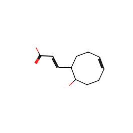 O=C(O)C=CC1CCC=CCCC1O